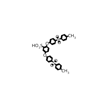 Cc1ccc(S(=O)(=O)c2ccc(Oc3ccc(Oc4ccc(S(=O)(=O)c5ccc(C)cc5)cc4)c(S(=O)(=O)O)c3)cc2)cc1